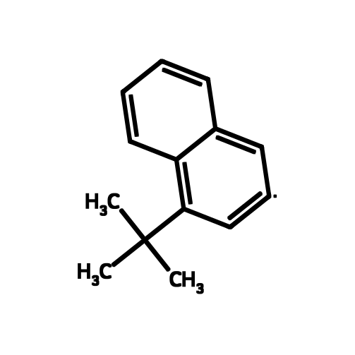 CC(C)(C)c1c[c]cc2ccccc12